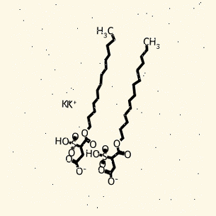 CCCCCCCCCCCCCCOC(=O)C(CC(=O)[O-])S(=O)(=O)O.CCCCCCCCCCCCCCOC(=O)C(CC(=O)[O-])S(=O)(=O)O.[K+].[K+]